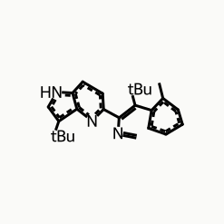 C=N/C(=C(\c1ccccc1C)C(C)(C)C)c1ccc2[nH]cc(C(C)(C)C)c2n1